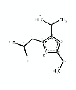 CCc1cc(C(C)C)n(CC(F)F)n1